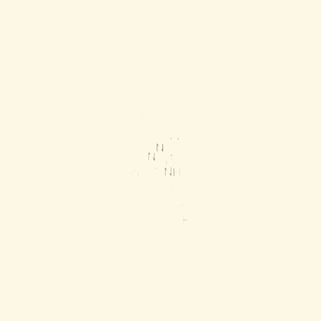 CC(C)(C)C(=O)C(=NN(c1ccccc1)S(C)(=O)=O)Nc1ccc(F)cc1